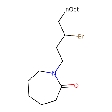 CCCCCCCCCC(Br)CCN1CCCCCC1=O